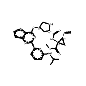 C=C[C@@H]1C[C@]1(NC(=O)[C@@H]1C[C@@H](Oc2nc(-c3cccc(NC(C)C)n3)nc3ccsc23)CN1)C(=O)OC